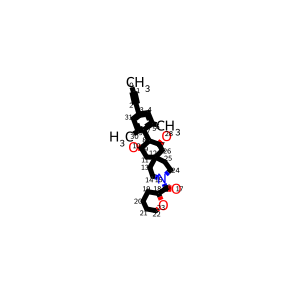 CC#Cc1cc(C)c(C2C(=O)CC3(CCN(C(=O)C4CCCCO4)CC3)CC2=O)c(C)c1